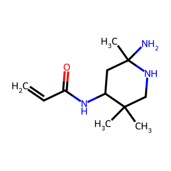 C=CC(=O)NC1CC(C)(N)NCC1(C)C